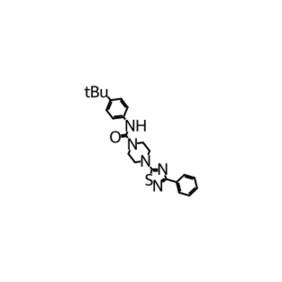 CC(C)(C)c1ccc(NC(=O)N2CCN(c3nc(-c4ccccc4)ns3)CC2)cc1